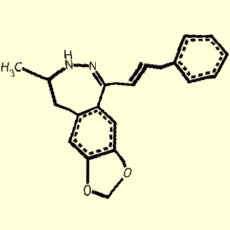 CC1Cc2cc3c(cc2C(C=Cc2ccccc2)=NN1)OCO3